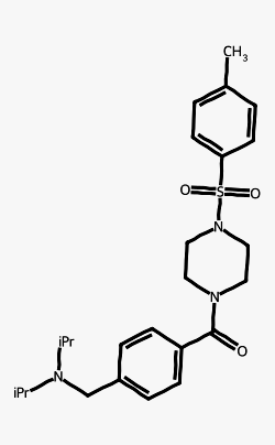 Cc1ccc(S(=O)(=O)N2CCN(C(=O)c3ccc(CN(C(C)C)C(C)C)cc3)CC2)cc1